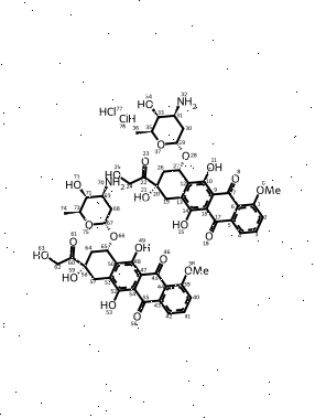 COc1cccc2c1C(=O)c1c(O)c3c(c(O)c1C2=O)C[C@@](O)(C(=O)CO)C[C@@H]3O[C@H]1C[C@H](N)[C@H](O)[C@H](C)O1.COc1cccc2c1C(=O)c1c(O)c3c(c(O)c1C2=O)C[C@@](O)(C(=O)CO)C[C@@H]3O[C@H]1C[C@H](N)[C@H](O)[C@H](C)O1.Cl.Cl